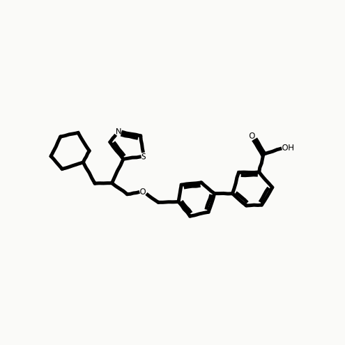 O=C(O)c1cccc(-c2ccc(COCC(CC3CCCCC3)c3cncs3)cc2)c1